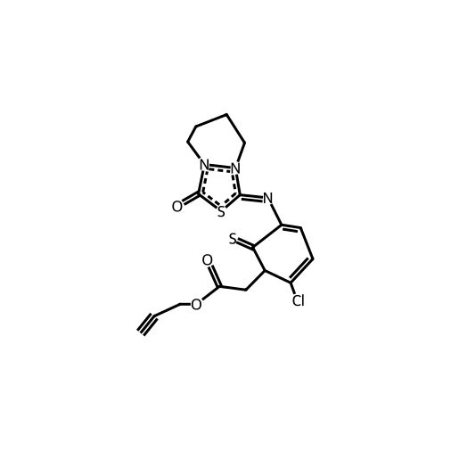 C#CCOC(=O)CC1C(=S)C(N=c2sc(=O)n3n2CCCC3)=CC=C1Cl